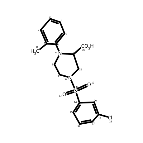 Cc1ccccc1N1CCN(S(=O)(=O)c2cccc(Cl)c2)CC1C(=O)O